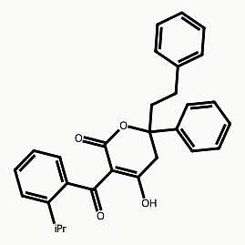 CC(C)c1ccccc1C(=O)C1=C(O)CC(CCc2ccccc2)(c2ccccc2)OC1=O